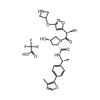 Cc1ncsc1-c1ccc([C@H](C)NC(=O)[C@@H]2C[C@@H](O)CN2C(=O)[C@@H](c2cc(OC3CNC3)no2)C(C)C)cc1.O=C(O)C(F)(F)F